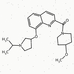 COC1CCN(C(=O)c2ccc3cccc(OC4CCN(C(C)C)C4)c3n2)CC1